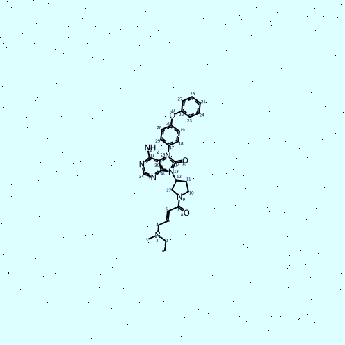 CCN(C)C/C=C/C(=O)N1CC[C@H](n2c(=O)n(-c3ccc(Oc4ccccc4)cc3)c3c(N)ncnc32)C1